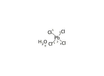 O.[Cl][Pb]([Cl])([Cl])[Cl]